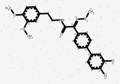 COc1ccc(CCNC(=O)C(=NSC)c2ccc(-c3ccc(Cl)c(Cl)c3)cc2)cc1OC